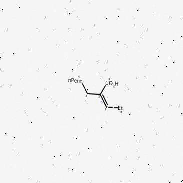 CC/C=C(/CCCCCC)C(=O)O